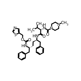 CC(C)[C@H](NC(=O)N1CCN(C)CC1)C(=O)N[C@H](CC[C@H](Cc1ccccc1)NC(=O)OCc1cncs1)Cc1ccccc1